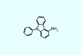 Nc1cccc2c1c1ccccc1n2-c1ccccc1